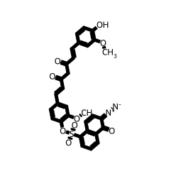 COc1cc(C=CC(=O)CC(=O)C=Cc2ccc(OS(=O)(=O)c3cccc4c3C=CC(=[N+]=[N-])C4=O)c(OC)c2)ccc1O